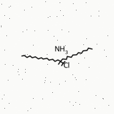 CCCCCCCCCCCCCCC(C)(CCCCCCCCCCCC)C(C)(C)Cl.N